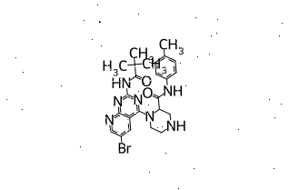 Cc1ccc(NC(=O)C2CNCCN2c2nc(NC(=O)C(C)(C)C)nc3ncc(Br)cc23)cc1